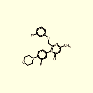 Cc1cc(=O)n(-c2ccc(N3CCOCC3)c(F)c2)c(COc2cccc(F)c2)n1